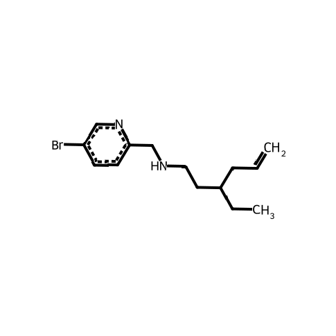 C=CCC(CC)CCNCc1ccc(Br)cn1